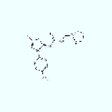 Cc1cn(-c2ccc(C(F)(F)F)cc2)/c(=N/C(=O)NC[C@H]2CCCO2)s1